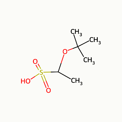 CC(OC(C)(C)C)S(=O)(=O)O